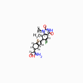 CC1c2c(c(=O)[nH]c(=O)n2C2CC2)C=C(F)C1c1cc2c(s1)CCC(C(N)CO)C2